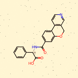 O=C(N[C@H](C(=O)O)c1ccccc1)c1ccc2c(c1)OCc1cnccc1-2